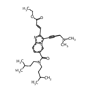 CCOC(=O)/C=C/c1nc2ccc(C(=O)N(CCC(C)C)CCC(C)C)cn2c1C#CCN(C)C